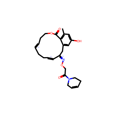 Cc1cc(O)cc2c1C(=O)OCC/C=C/CC/C=C/C(=N\OCC(=O)N1CC=CCC1)C2